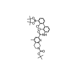 Cc1cc(C(=O)Nc2cccc(-c3cccc(B4OC(C)(C)C(C)(C)O4)c3Cl)c2Cl)nc2c1CCN(C(=O)OC(C)(C)C)C2